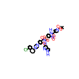 CC(C)(C)OC(=O)N1CC2CC1CC2CNc1ccc(S(=O)(=O)NC(=O)c2ccc(N3CCN([C@@H]4CCCCc5c(Cl)cccc54)CC3)cc2Oc2cnc3[nH]ccc3c2)cc1[N+](=O)[O-]